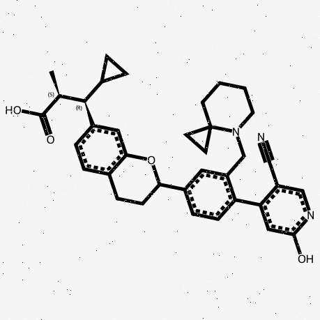 C[C@H](C(=O)O)[C@H](c1ccc2c(c1)OC(c1ccc(-c3cc(O)ncc3C#N)c(CN3CCCCC34CC4)c1)CC2)C1CC1